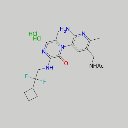 CC(=O)NCc1cc(-n2c(C)cnc(NCC(F)(F)C3CCC3)c2=O)c(N)nc1C.Cl.Cl